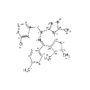 Cc1ccc(C2=NN(Cc3cccc(Cl)c3)c3nnc(C)n3-c3sc(C)c(C)c32)cc1